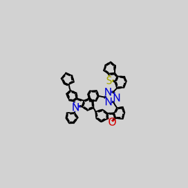 c1ccc(-c2ccc3c(c2)c2ccc(-c4ccc5oc6cccc(-c7nc(-c8ccccc8)nc(-c8cccc9c8sc8ccccc89)n7)c6c5c4)cc2n3-c2ccccc2)cc1